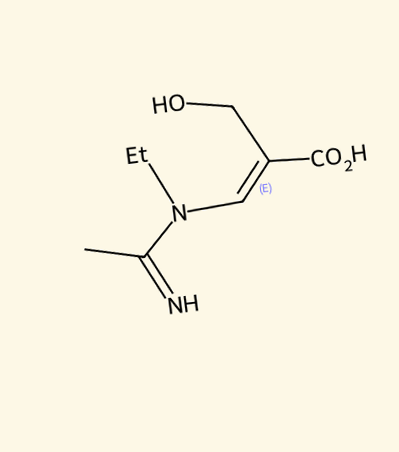 CCN(/C=C(\CO)C(=O)O)C(C)=N